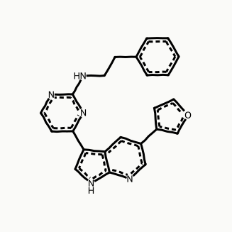 c1ccc(CCNc2nccc(-c3c[nH]c4ncc(-c5ccoc5)cc34)n2)cc1